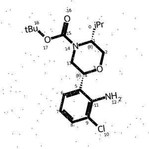 CC(C)[C@@H]1CO[C@H](c2cccc(Cl)c2N)CN1C(=O)OC(C)(C)C